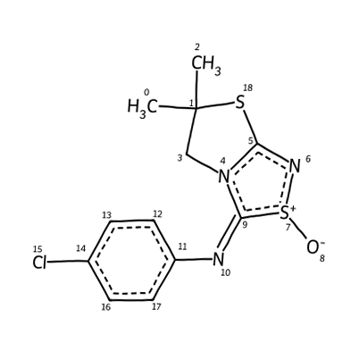 CC1(C)Cn2c(n[s+]([O-])c2=Nc2ccc(Cl)cc2)S1